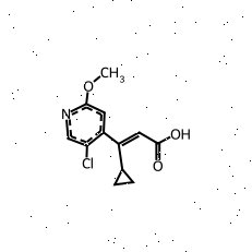 COc1cc(C(=CC(=O)O)C2CC2)c(Cl)cn1